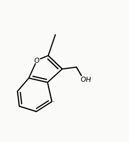 Cc1oc2ccc[c]c2c1CO